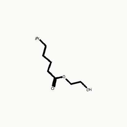 CC(C)CCCCC(=O)OCCO